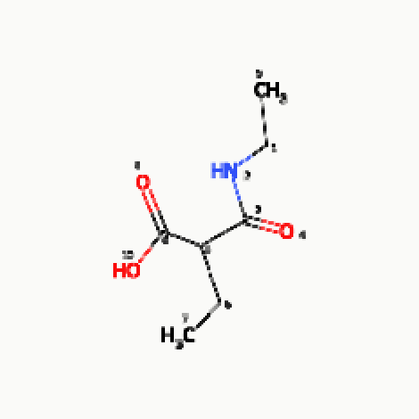 CCNC(=O)C(CC)C(=O)O